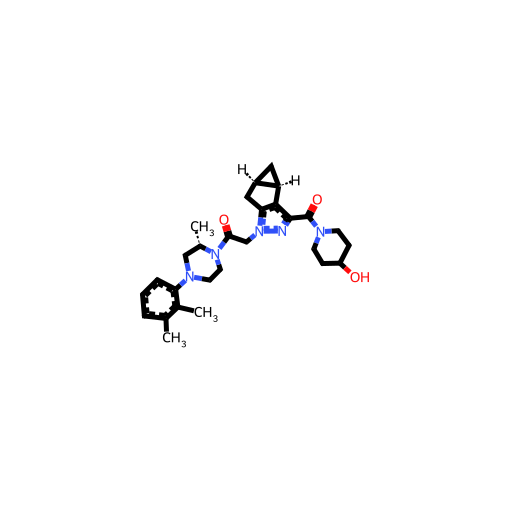 Cc1cccc(N2CCN(C(=O)Cn3nc(C(=O)N4CCC(O)CC4)c4c3C[C@H]3C[C@@H]43)[C@@H](C)C2)c1C